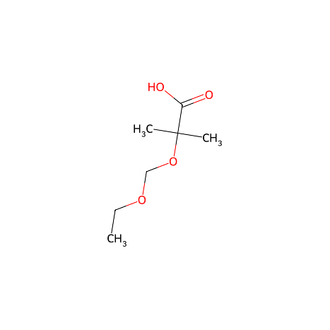 CCOCOC(C)(C)C(=O)O